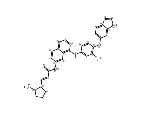 Cc1cc(Nc2ncnc3ccc(NC(=O)/C=C/C4CCCN4C)cc23)ccc1Oc1ccc2nc[nH]c2c1